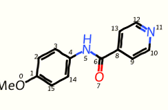 COc1ccc(NC(=O)c2ccncc2)cc1